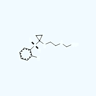 O=C(O)COCCNC1(S(=O)(=O)c2ccccc2Cl)CC1